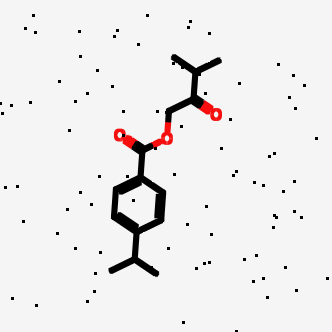 CC(C)C(=O)COC(=O)c1ccc(C(C)C)cc1